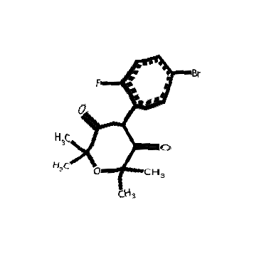 CC1(C)OC(C)(C)C(=O)C(c2cc(Br)ccc2F)C1=O